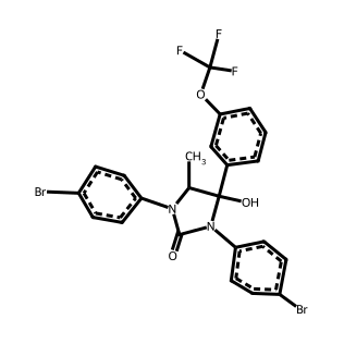 CC1N(c2ccc(Br)cc2)C(=O)N(c2ccc(Br)cc2)C1(O)c1cccc(OC(F)(F)F)c1